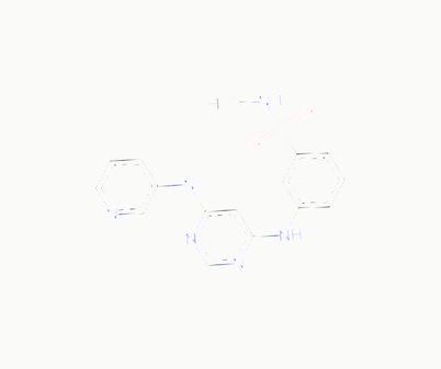 CNS(=O)(=O)c1cccc(Nc2cc(Nc3cccnc3)ncn2)c1